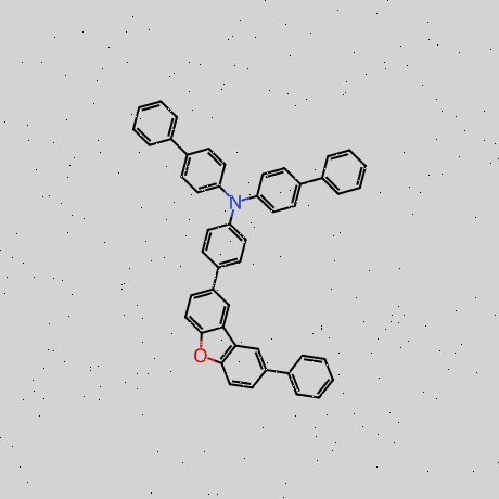 c1ccc(-c2ccc(N(c3ccc(-c4ccccc4)cc3)c3ccc(-c4ccc5oc6ccc(-c7ccccc7)cc6c5c4)cc3)cc2)cc1